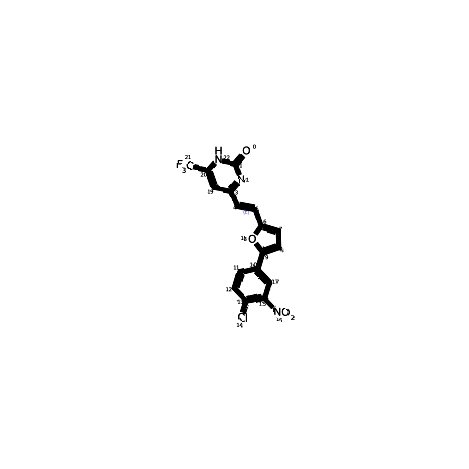 O=c1nc(/C=C/c2ccc(-c3ccc(Cl)c([N+](=O)[O-])c3)o2)cc(C(F)(F)F)[nH]1